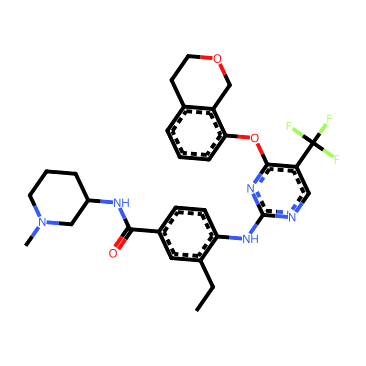 CCc1cc(C(=O)NC2CCCN(C)C2)ccc1Nc1ncc(C(F)(F)F)c(Oc2cccc3c2COCC3)n1